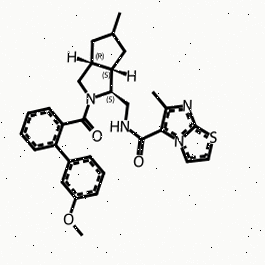 COc1cccc(-c2ccccc2C(=O)N2C[C@@H]3CC(C)C[C@@H]3[C@H]2CNC(=O)c2c(C)nc3sccn23)c1